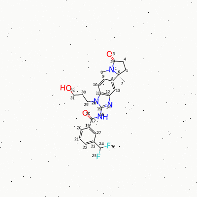 CN1C(=O)CC[C@@]1(C)c1ccc2c(c1)nc(NC(=O)c1cccc(C(F)F)c1)n2CCCO